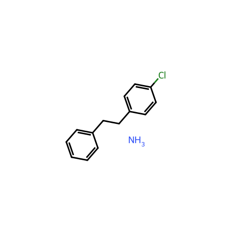 Clc1ccc(CCc2ccccc2)cc1.N